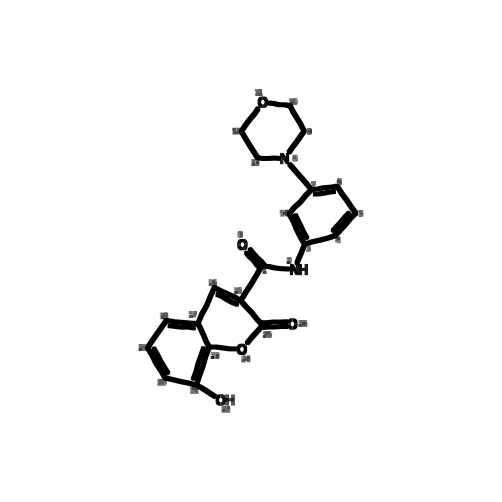 O=C(Nc1cccc(N2CCOCC2)c1)c1cc2cccc(O)c2oc1=O